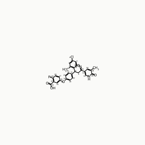 Cc1cc(Cl)ccc1C(C/C(=N\O)c1c[nH]c(=O)c(C)c1)c1ccc(Oc2ccc(F)c(C(=O)O)c2)cc1